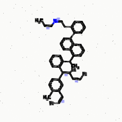 C/C=C\N=C/Cc1ccccc1-c1cccc2c(C(C)c3ccccc3/C(=C(/C=C\CC)CC)c3ccc(C)c(/C=C\CC)c3)cccc12